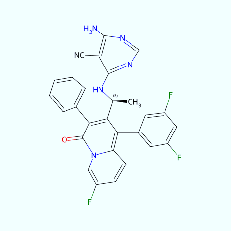 C[C@H](Nc1ncnc(N)c1C#N)c1c(-c2ccccc2)c(=O)n2cc(F)ccc2c1-c1cc(F)cc(F)c1